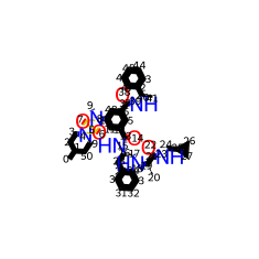 CC1CCN(S(=O)(=O)N(C)c2cc(C(=O)N[C@H](CN[C@@H](C)C(=O)NCC3CC3)Cc3ccccc3)cc(C(=O)N[C@H](C)c3ccccc3)c2)CC1